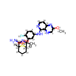 COc1cnc2c(Nc3ccc(F)c([C@@]4(C)N=C(N)[C@H]5CCC[C@H]4S5(O)O)c3)nccc2n1